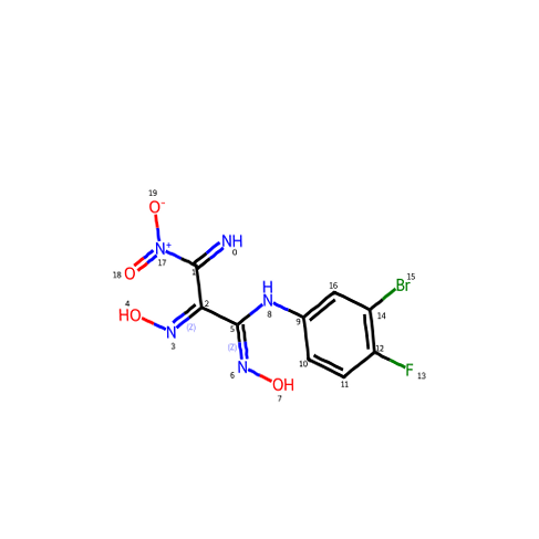 N=C(C(=N\O)/C(=N/O)Nc1ccc(F)c(Br)c1)[N+](=O)[O-]